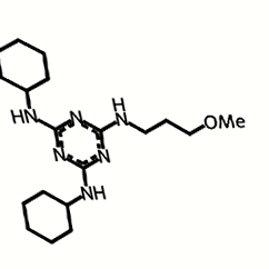 COCCCNc1nc(NC2CCCCC2)nc(NC2CCCCC2)n1